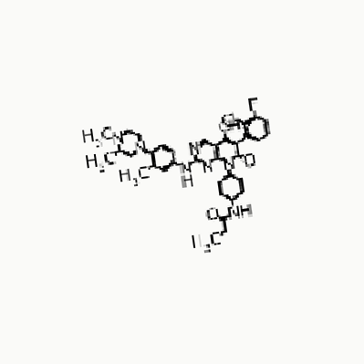 CCC(=O)NC1CCC(n2c(=O)c(-c3cccc(F)c3Cl)c(C)c3cnc(Nc4ccc(N5CCN(C)C(C)C5)c(C)c4)nc32)CC1